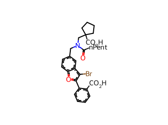 CCCCCC(=O)N(Cc1ccc2oc(-c3ccccc3C(=O)O)c(Br)c2c1)CC1(C(=O)O)CCCC1